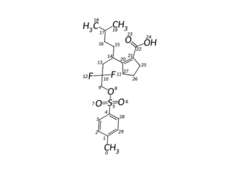 Cc1ccc(S(=O)(=O)OCC(F)(F)CC(CCC(C)C)C2=C(C(=O)O)CCC2)cc1